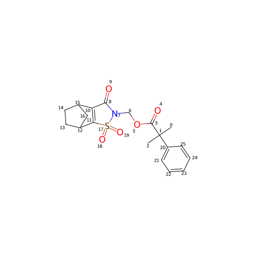 CC(C)(C(=O)OCN1C(=O)C2=C(C3CCC2C3)S1(=O)=O)c1ccccc1